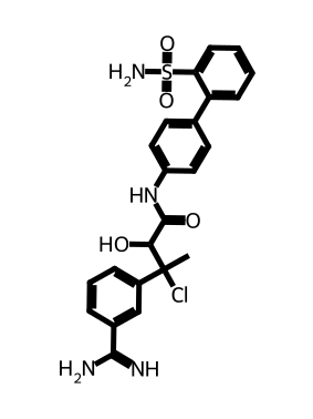 CC(Cl)(c1cccc(C(=N)N)c1)C(O)C(=O)Nc1ccc(-c2ccccc2S(N)(=O)=O)cc1